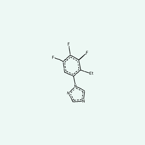 CCc1c(-n2cncn2)cc(F)c(F)c1F